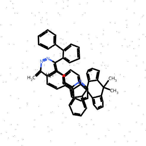 C=C(/N=N\C(=C(/C)c1ccc2c(c1)-c1ccccc1C21c2ccccc2C(C)(C)c2ccccc21)c1ccccc1-c1ccccc1)c1ccc(-c2ccccn2)cc1